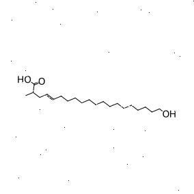 CC(C/C=C/CCCCCCCCCCCCCCCO)C(=O)O